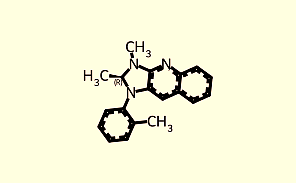 Cc1ccccc1N1c2cc3ccccc3nc2N(C)[C@@H]1C